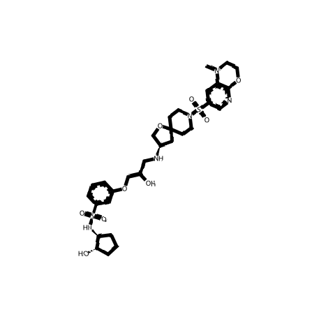 CN1CCOc2ncc(S(=O)(=O)N3CCC4(CC3)C[C@@H](NCC(O)COc3cccc(S(=O)(=O)N[C@H]5CCC[C@@H]5O)c3)CO4)cc21